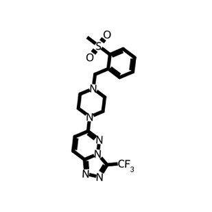 CS(=O)(=O)c1ccccc1CN1CCN(c2ccc3nnc(C(F)(F)F)n3n2)CC1